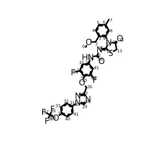 COCc1ccc(C)cc1N1C(=O)CS/C1=N\C(=O)Nc1cc(F)c(OCc2ncn(-c3ccc(OC(F)(F)F)cc3)n2)c(F)c1